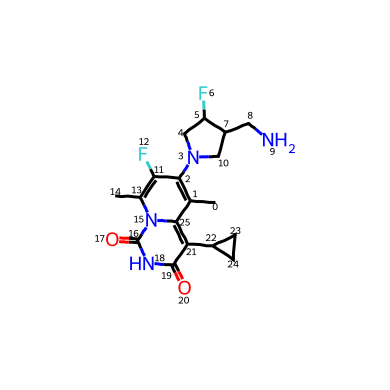 Cc1c(N2CC(F)C(CN)C2)c(F)c(C)n2c(=O)[nH]c(=O)c(C3CC3)c12